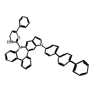 C1=C(c2ccccc2)N=C(N2c3ccccc3-c3ccccc3-c3cc4c(ccn4-c4ccc(-c5ccc(-c6ccccc6)cc5)cc4)cc32)NC1